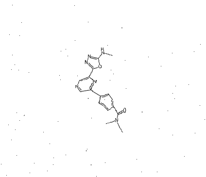 CNc1nnc(-c2cncc(-c3ccc(C(=O)N(C)C)cc3)n2)o1